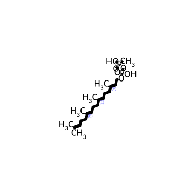 CC(C)=CCC/C(C)=C/CC/C(C)=C/CC/C(C)=C/COP(=O)(O)OP(C)(=O)O